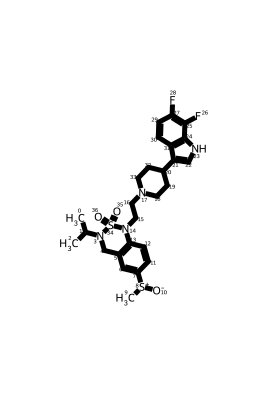 CC(C)N1Cc2cc([S+](C)[O-])ccc2N(CCN2CCC(c3c[nH]c4c(F)c(F)ccc34)CC2)S1(=O)=O